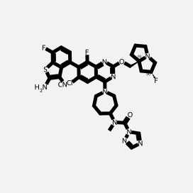 CN(C(=O)n1cncn1)C1CCCN(c2nc(OC[C@@]34CCCN3C[C@H](F)C4)nc3c(F)c(-c4ccc(F)c5sc(N)c(C#N)c45)c(Cl)cc23)CC1